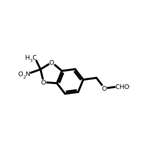 CC1([N+](=O)[O-])Oc2ccc(CO[C]=O)cc2O1